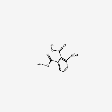 CCCCc1cccc(C(=O)OCCC)c1C(=O)OCCC